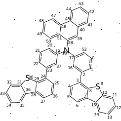 c1cc(-c2cccc3c2sc2ccccc23)cc(N(c2cccc(-c3cccc4c3sc3ccccc34)c2)c2cc3ccccc3c3ccccc23)c1